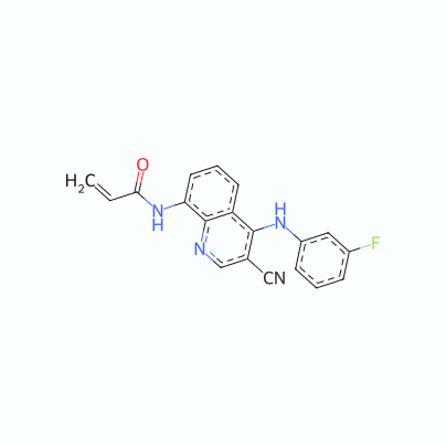 C=CC(=O)Nc1cccc2c(Nc3cccc(F)c3)c(C#N)cnc12